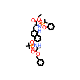 CCOC(=O)[C@H](Cc1ccc2c(OP(=O)(N[C@@H](C)C(=O)OCc3ccccc3)C(C)(C)C)cccc2c1)NP(=O)(Oc1ccccc1)C(C)C